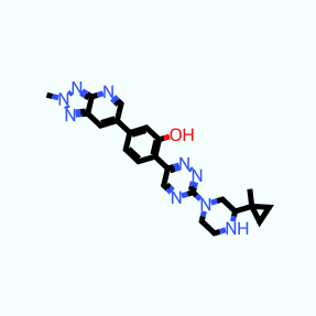 Cn1nc2cc(-c3ccc(-c4cnc(N5CCNC(C6(C)CC6)C5)nn4)c(O)c3)cnc2n1